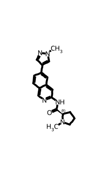 CN1CCC[C@@H]1C(=O)Nc1cc2cc(-c3cnn(C)c3)ccc2cn1